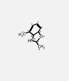 CC1=CC=CC2OC(C)NC12